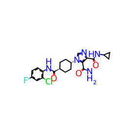 NC(=O)c1c(C(=O)NC2CC2)ncn1[C@H]1CC[C@H](C(=O)Nc2ccc(F)cc2Cl)CC1